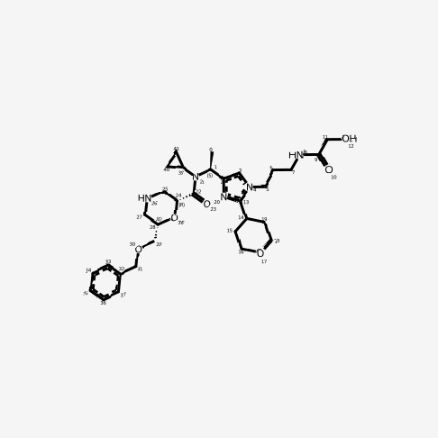 C[C@@H](c1cn(CCCNC(=O)CO)c(C2CCOCC2)n1)N(C(=O)[C@H]1CNC[C@@H](COCc2ccccc2)O1)C1CC1